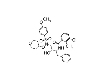 COc1ccc(S(=O)(=O)N(CC(O)C(Cc2ccccc2)NC(=O)c2cccc(O)c2C)OC2CCOCC2)cc1